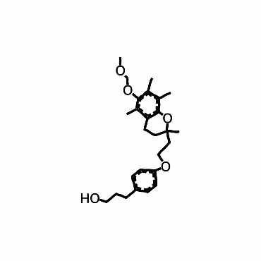 COCOc1c(C)c(C)c2c(c1C)CCC(C)(CCOc1ccc(CCCO)cc1)O2